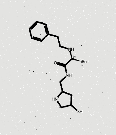 CC[C@H](C)[C@H](NCCc1ccccc1)C(=O)NCC1CC(S)CN1